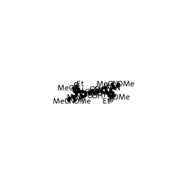 CCOc1cc2c(cc1OC)C(c1cnc(OC)nc1OC)=N[C@H]1CC[C@H](OC(=O)C(O)C(O)C(=O)O[C@H]3CC[C@@H]4N=C(c5cnc(OC)nc5OC)c5cc(OC)c(OCC)cc5[C@@H]4C3)C[C@@H]21